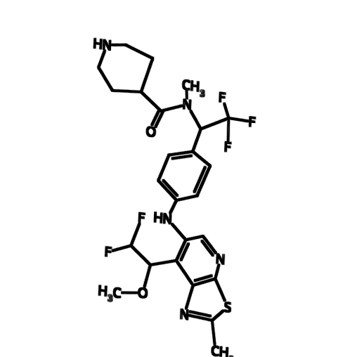 COC(c1c(Nc2ccc(C(N(C)C(=O)C3CCNCC3)C(F)(F)F)cc2)cnc2sc(C)nc12)C(F)F